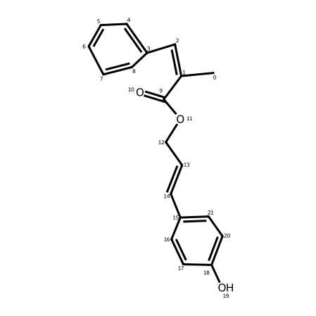 CC(=Cc1ccccc1)C(=O)OCC=Cc1ccc(O)cc1